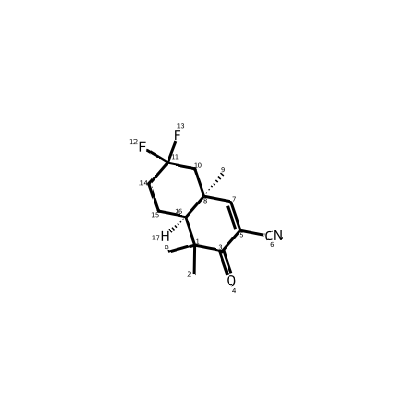 CC1(C)C(=O)C(C#N)=C[C@]2(C)CC(F)(F)CC[C@H]12